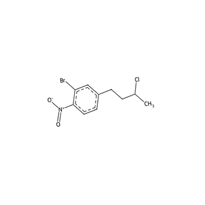 CC(Cl)CCc1ccc([N+](=O)[O-])c(Br)c1